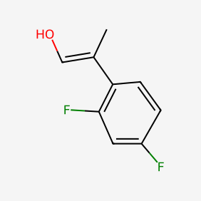 CC(=CO)c1ccc(F)cc1F